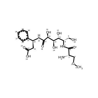 COC[C@H](N)C(=O)N[C@@H](CO)[C@@H](O)[C@@H](O)[C@H](O)C(=O)N[C@@H](CC(=O)O)c1ccccc1